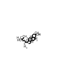 C=C[C@@](C)(O)CC[C@@H](C)[C@H]1CC[C@H]2[C@@H]3CC[C@H]4C[C@@](C)(O)CC[C@]4(C)[C@H]3CC[C@]12C